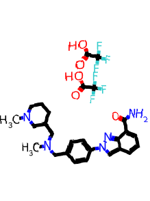 CN1CCCC(CN(C)Cc2ccc(-n3cc4cccc(C(N)=O)c4n3)cc2)C1.O=C(O)C(F)(F)F.O=C(O)C(F)(F)F